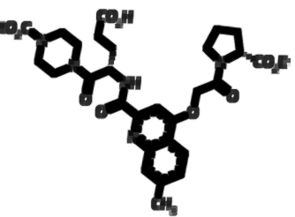 CCOC(=O)[C@H]1CCCN1C(=O)COc1cc(C(=O)N[C@@H](CCC(=O)O)C(=O)N2CCN(C(=O)OCC)CC2)nc2cc(C)ccc12